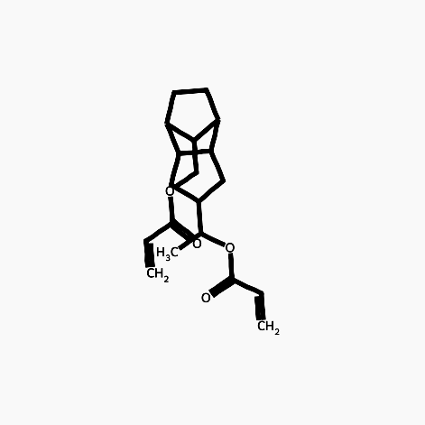 C=CC(=O)OCC1C2CCC1C1CC(C(C)OC(=O)C=C)CC21